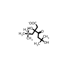 CC(C)(O)CC(=O)C(O)(CC(=O)[O-])C[N+](C)(C)C